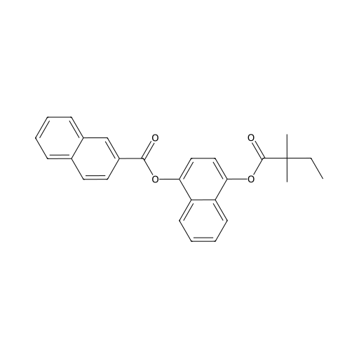 CCC(C)(C)C(=O)Oc1ccc(OC(=O)c2ccc3ccccc3c2)c2ccccc12